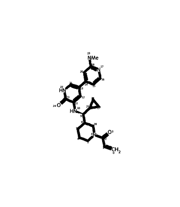 C=CC(=O)N1CCCC([C@@H](Nc2cc(-c3ccnc(NC)c3)c[nH]c2=O)C2CC2)C1